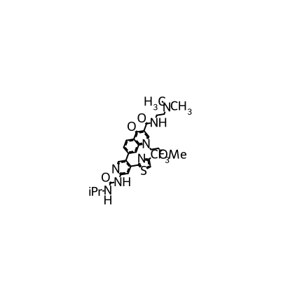 COCCn1cc(C(=O)NCCN(C)C)c(=O)c2ccc(-c3cnc(NC(=O)NC(C)C)cc3-c3nc(C(F)(F)F)cs3)cc21